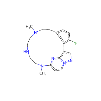 CN1CCNCCN(C)c2ccn3ncc(c3n2)-c2cc(ccc2F)CC1